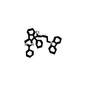 CC/C(=C\C=C/Cn1c2ccccc2c2ccccc21)C1(c2ccccc2)c2ccccc2-c2cnc(-c3ccccc3)nc21